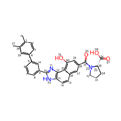 Cc1ccc(-c2cccc(-c3nc4c(ccc5cc(C(=O)N6CCC[C@H]6C(=O)O)cc(O)c54)[nH]3)c2)cc1C